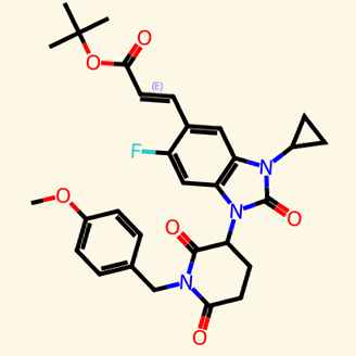 COc1ccc(CN2C(=O)CCC(n3c(=O)n(C4CC4)c4cc(/C=C/C(=O)OC(C)(C)C)c(F)cc43)C2=O)cc1